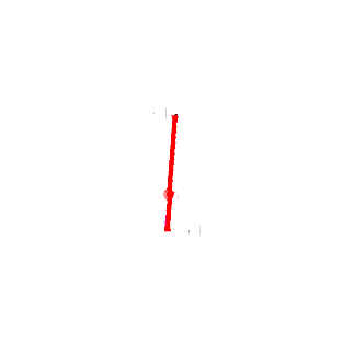 CCCCCCCC/C=C/C/C=C/CCCCCCC(=O)OCCCCCCCCCCCCCCCCCCCCCCCCCCCCC[C]=O